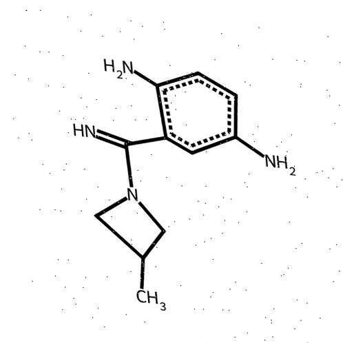 CC1CN(C(=N)c2cc(N)ccc2N)C1